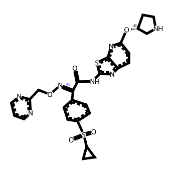 O=C(Nc1nc2ccc(O[C@@H]3CCNC3)nc2s1)/C(=N/OCc1ncccn1)c1ccc(S(=O)(=O)C2CC2)cc1